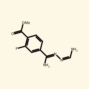 COC(=O)c1ccc(/C(N)=N/N=C\N)cc1F